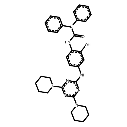 O=C(Nc1ccc(Nc2nc(N3CCCCC3)nc(N3CCCCC3)n2)cc1O)N(c1ccccc1)c1ccccc1